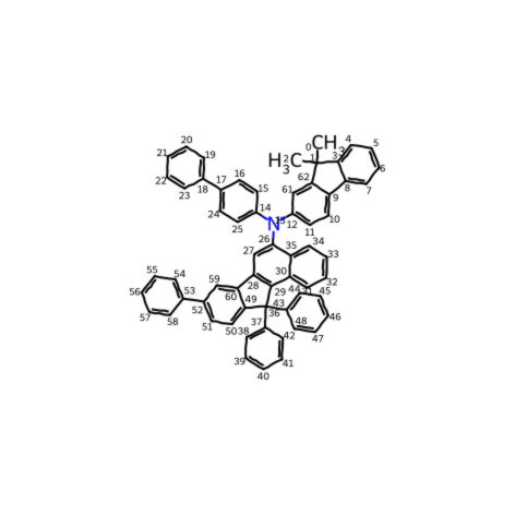 CC1(C)c2ccccc2-c2ccc(N(c3ccc(-c4ccccc4)cc3)c3cc4c(c5ccccc35)C(c3ccccc3)(c3ccccc3)c3ccc(-c5ccccc5)cc3-4)cc21